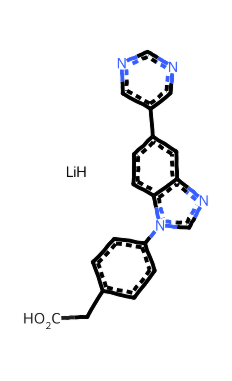 O=C(O)Cc1ccc(-n2cnc3cc(-c4cncnc4)ccc32)cc1.[LiH]